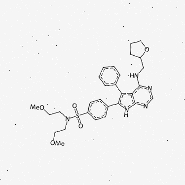 COCCN(CCOC)S(=O)(=O)c1ccc(-c2[nH]c3ncnc(NCC4CCCO4)c3c2-c2ccccc2)cc1